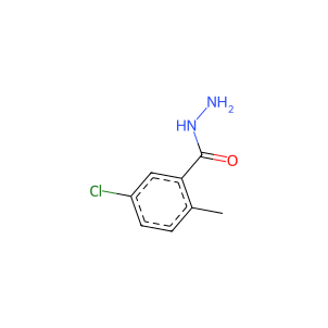 Cc1ccc(Cl)cc1C(=O)NN